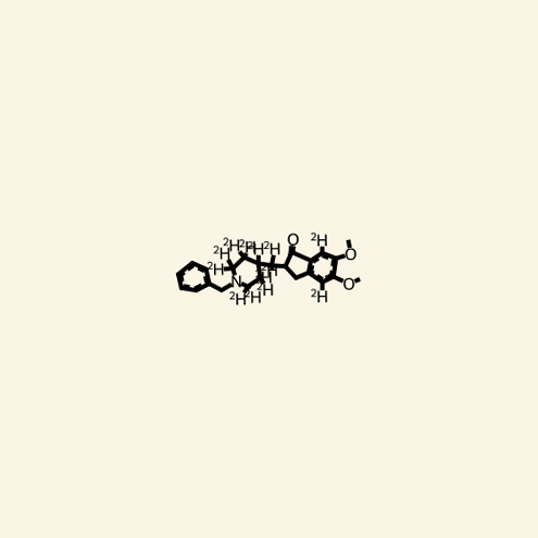 [2H]c1c2c(c([2H])c(OC)c1OC)C(=O)C(C([2H])([2H])C1([2H])C([2H])([2H])C([2H])([2H])N(Cc3ccccc3)C([2H])([2H])C1([2H])[2H])C2